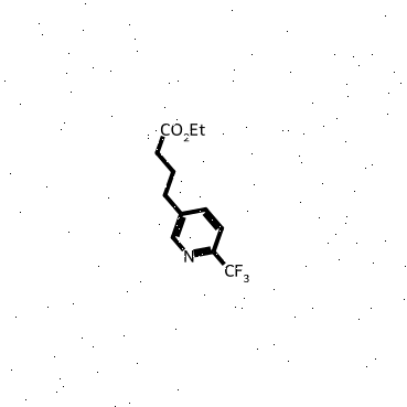 CCOC(=O)CCCc1ccc(C(F)(F)F)nc1